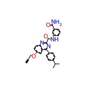 C#CCOc1ccc2nc(C(=O)Nc3cccc(C(N)=O)c3)nc(-c3ccc(C(C)C)cc3)c2c1